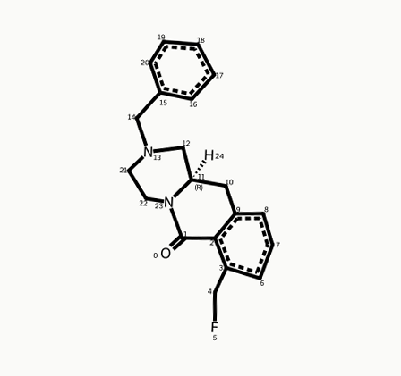 O=C1c2c(CF)cccc2C[C@@H]2CN(Cc3ccccc3)CCN12